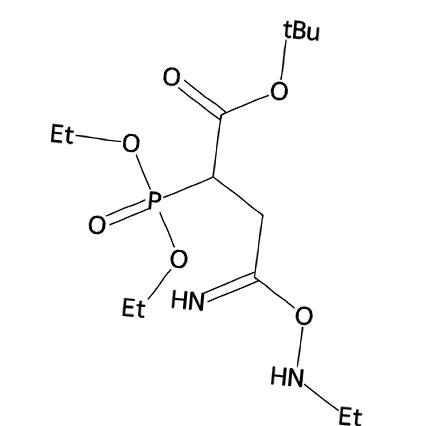 CCNOC(=N)CC(C(=O)OC(C)(C)C)P(=O)(OCC)OCC